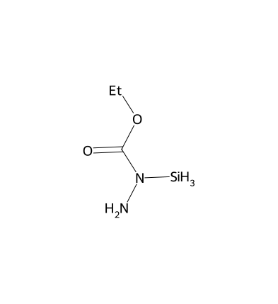 CCOC(=O)N(N)[SiH3]